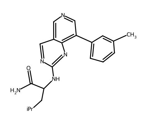 Cc1cccc(-c2cncc3cnc(NC(CC(C)C)C(N)=O)nc23)c1